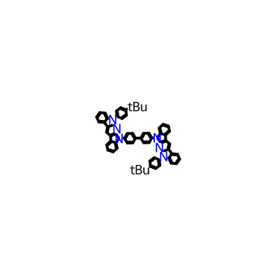 CC(C)(C)c1ccc(-n2c3ccccc3c3cc4c5ccccc5n(-c5ccc(-c6ccc(-n7c8ccccc8c8cc9c%10ccccc%10n(-c%10ccc(C(C)(C)C)cc%10)c9nc87)cc6)cc5)c4nc32)cc1